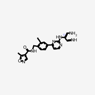 Cc1cc(-c2ccnc(N/C(C=N)=C/N)n2)ccc1CNC(=O)c1cnoc1C